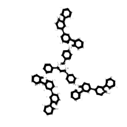 c1cc(-c2cc(-c3ccc(-n4c5ccccc5c5cc(-c6ccc7oc8ccccc8c7c6)ccc54)cc3)nc(-c3ccc(-n4c5ccccc5c5cc(-c6ccc7oc8ccccc8c7c6)ccc54)cc3)n2)cc(-n2c3ccccc3c3cc(-c4ccc5oc6ccccc6c5c4)ccc32)c1